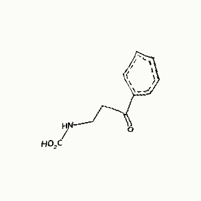 O=C(O)NCCC(=O)c1ccccc1